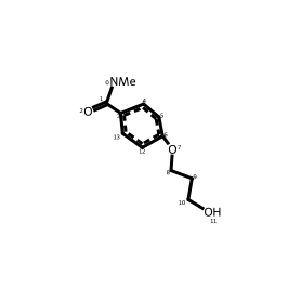 CNC(=O)c1ccc(OCCCO)cc1